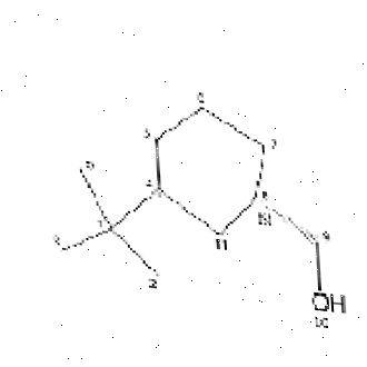 CC(C)(C)[C]1CCC[C@H](CO)C1